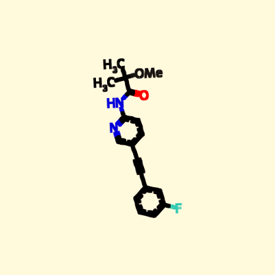 COC(C)(C)C(=O)Nc1ccc(C#Cc2cccc(F)c2)cn1